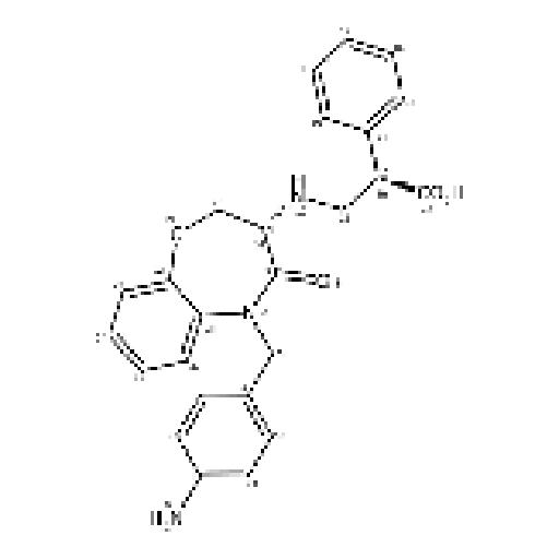 Nc1ccc(CN2C(=O)[C@@H](NC[C@H](C(=O)O)c3ccccc3)COc3ccccc32)cc1